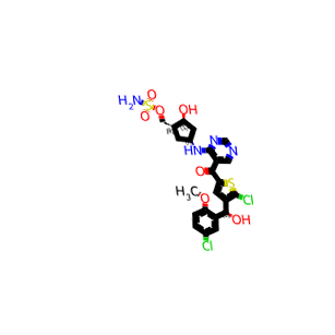 COc1ccc(Cl)cc1[C@H](O)c1cc(C(=O)c2cncnc2N[C@@H]2C[C@H](COS(N)(=O)=O)[C@@H](O)C2)sc1Cl